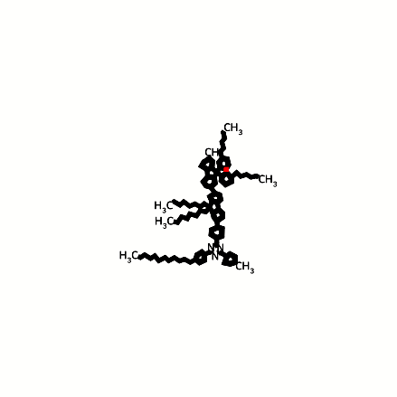 CCCCCCCCCCCCc1ccc(-c2nc(-c3ccc(C)cc3)nc(-c3ccc(-c4ccc5c(c4)C(CCCCCCCC)(CCCCCCCC)c4cc(-c6ccc7c(c6)C(c6cccc(CCCCCC)c6)(c6cccc(CCCCCC)c6)c6cc(C)ccc6-7)ccc4-5)cc3)n2)cc1